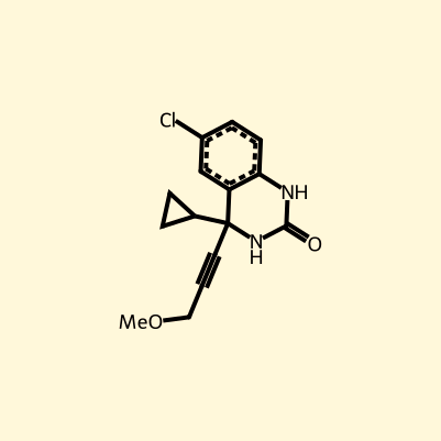 COCC#CC1(C2CC2)NC(=O)Nc2ccc(Cl)cc21